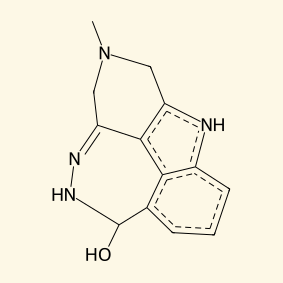 CN1CC2=NNC(O)c3cccc4[nH]c(c2c34)C1